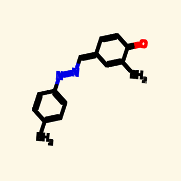 BC1=C/C(=C\N=Nc2ccc(B)cc2)C=CC1=O